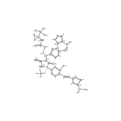 CC(C)(C)C[C@]1(c2ccc(C#Cc3cnn(C(F)F)c3)c(F)c2)NC(=N)N(C(COC(=O)NC2(C(F)(F)F)CC2)c2ccc(Cl)c(-n3ncnc3C(F)F)c2)C1=O